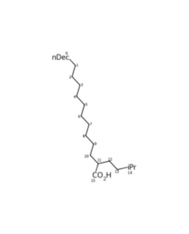 CCCCCCCCCCCCCCCCCCCCC(CCC(C)C)C(=O)O